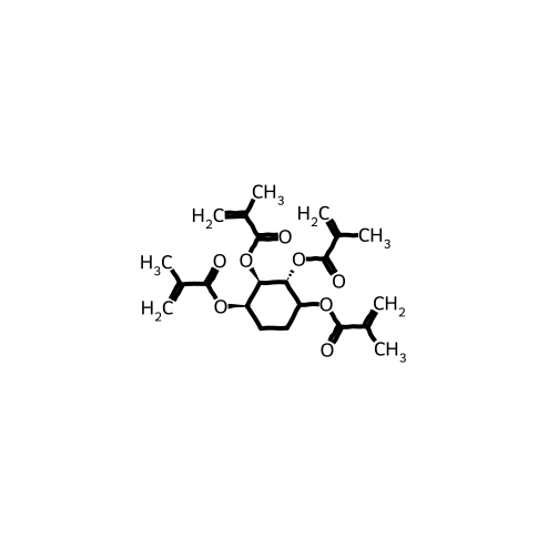 C=C(C)C(=O)OC1CC[C@@H](OC(=O)C(=C)C)[C@@H](OC(=O)C(=C)C)[C@@H]1OC(=O)C(=C)C